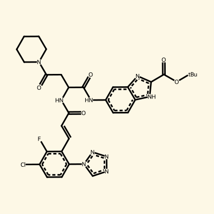 CC(C)(C)OC(=O)c1nc2cc(NC(=O)C(CC(=O)N3CCCCC3)NC(=O)/C=C/c3c(-n4cnnn4)ccc(Cl)c3F)ccc2[nH]1